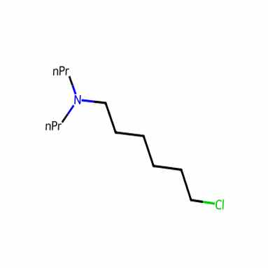 CCCN(CCC)CCCCCCCl